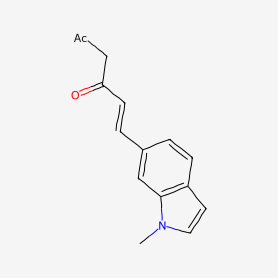 CC(=O)CC(=O)/C=C/c1ccc2ccn(C)c2c1